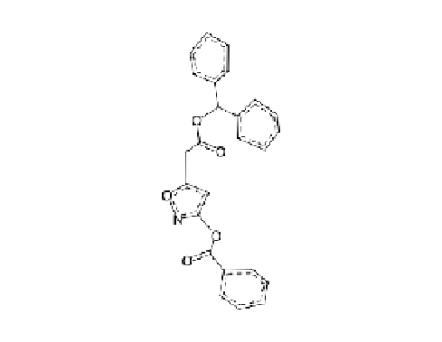 O=C(Cc1cc(OC(=O)c2ccccc2)no1)OC(c1ccccc1)c1ccccc1